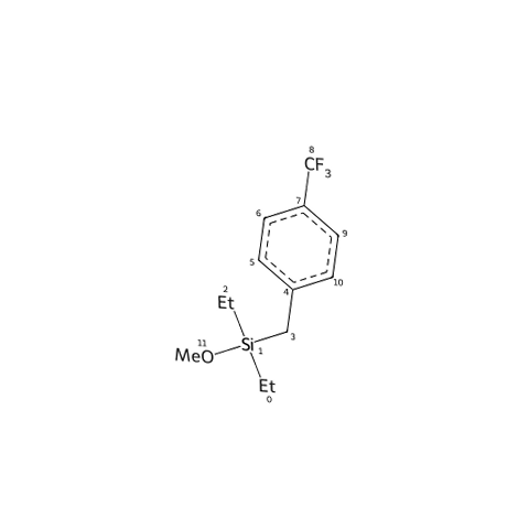 CC[Si](CC)(Cc1ccc(C(F)(F)F)cc1)OC